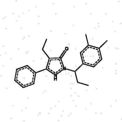 CCc1c(-c2ccccc2)[nH]n(C(CC)c2ccc(C)c(C)c2)c1=O